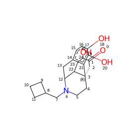 O=C1C[C@@]23CCN(CC4CCC4)C(Cc4ccc(O)c(O)c42)C3CC1O